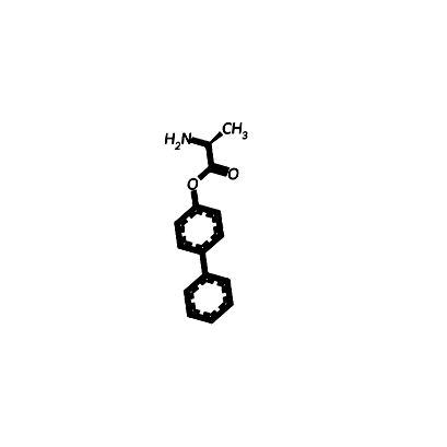 C[C@H](N)C(=O)Oc1ccc(-c2ccccc2)cc1